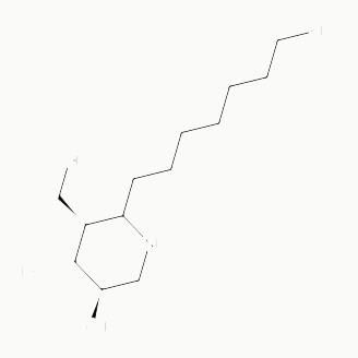 CCCCCCCCC1NC[C@@H](O)[C@H](O)[C@H]1CO